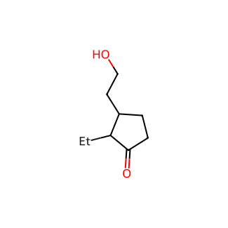 CCC1C(=O)CCC1CCO